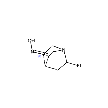 CCC1CC2CCN1C/C2=N\O